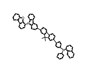 CC1(C)c2cc(-c3ccc(N(c4ccccc4)c4cccc5ccccc45)cc3)ccc2-c2ccc(-c3ccc4c(c3)c3ccccc3n4-c3cccc4c3oc3ccccc34)cc21